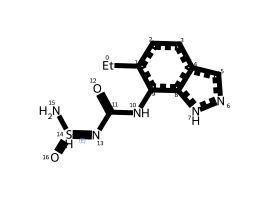 CCc1ccc2cn[nH]c2c1NC(=O)/N=[SH](\N)=O